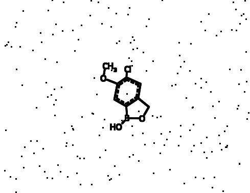 COc1cc2c(cc1Cl)COB2O